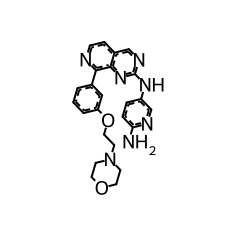 Nc1ccc(Nc2ncc3ccnc(-c4cccc(OCCN5CCOCC5)c4)c3n2)cn1